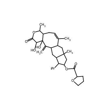 C=C1C2CC3C(C(C)C)C(OC(=O)C4CCCO4)CC3(C)CC2C(C)=CCC2C(C)OC(=O)C(O)C12O